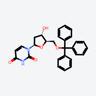 O=c1ccn([C@H]2C[C@H](O)[C@@H](COC(c3ccccc3)(c3ccccc3)c3ccccc3)O2)c(=O)[nH]1